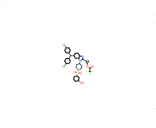 O=C(OC1CC1c1nc2ccc(C(c3ccc(Cl)cc3)c3ccc(Cl)cc3)cc2n1C1CCN(S(=O)(=O)c2cccc(O)c2)CC1)C(F)(F)F